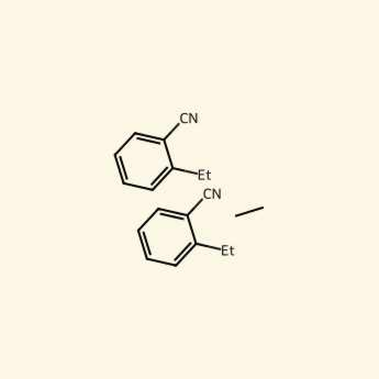 CC.CCc1ccccc1C#N.CCc1ccccc1C#N